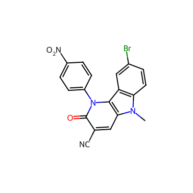 Cn1c2ccc(Br)cc2c2c1cc(C#N)c(=O)n2-c1ccc([N+](=O)[O-])cc1